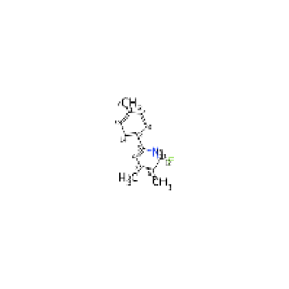 Cc1ccc(-c2cc(C)c(C)c(F)n2)cc1